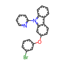 Brc1cccc(Oc2ccc3c4ccccc4n(-c4ccccn4)c3c2)c1